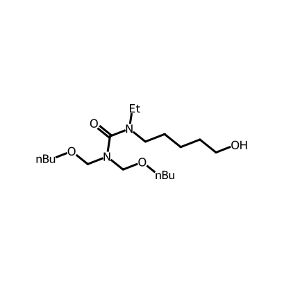 CCCCOCN(COCCCC)C(=O)N(CC)CCCCCO